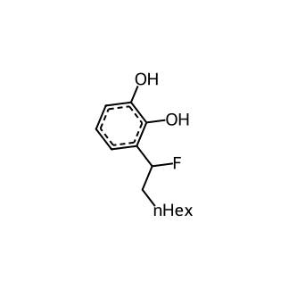 CCCCCCCC(F)c1cccc(O)c1O